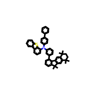 CC1(C)CCC(C)(C)c2cc3c(cc21)-c1c(-c2cccc(N(c4ccc(-c5ccccc5)cc4)c4cccc5c4sc4ccccc45)c2)cccc1C3(C)C